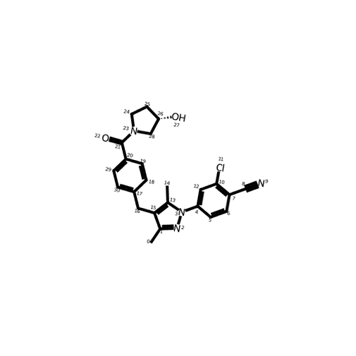 Cc1nn(-c2ccc(C#N)c(Cl)c2)c(C)c1Cc1ccc(C(=O)N2CC[C@H](O)C2)cc1